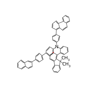 CC1(C)c2ccccc2-c2cccc(-c3ccccc3N(c3ccc(-c4ccc(-c5ccc6ccccc6c5)cc4)cc3)c3ccc(-c4cccc5c4ccc4ccccc45)cc3)c21